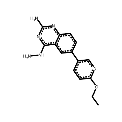 CCOc1ccc(-c2ccc3nc(N)nc(NN)c3c2)cn1